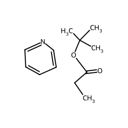 CCC(=O)OC(C)(C)C.c1ccncc1